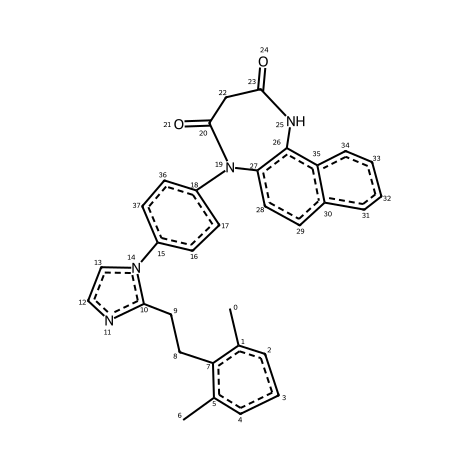 Cc1cccc(C)c1CCc1nccn1-c1ccc(N2C(=O)CC(=O)Nc3c2ccc2ccccc32)cc1